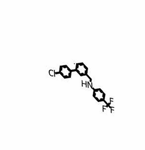 FC(F)(F)c1ccc(NCc2cc[c]c(-c3ccc(Cl)cc3)c2)cc1